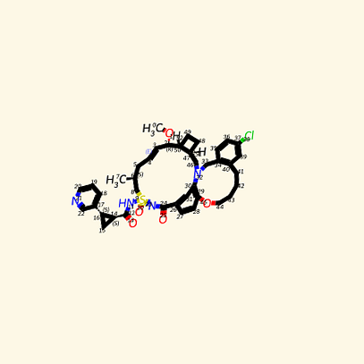 CO[C@H]1/C=C/C[C@H](C)CS(=O)(NC(=O)[C@H]2C[C@@H]2c2cccnc2)=NC(=O)c2ccc3c(c2)N(Cc2ccc(Cl)cc2CCCCO3)C[C@@H]2CC[C@H]21